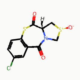 O=C1Sc2ccc(Cl)cc2C(=O)N2C[S@+]([O-])C[C@@H]12